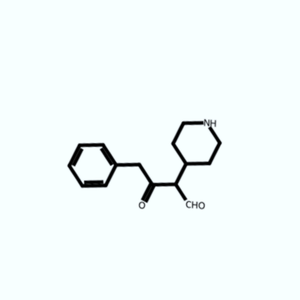 O=CC(C(=O)Cc1ccccc1)C1CCNCC1